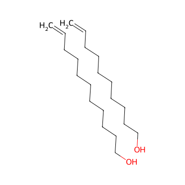 C=CCCCCCCCCCO.C=CCCCCCCCCO